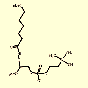 CCCCCCCCCCCCCCCC(=O)NCC(COP(=O)([O-])OCC[N+](C)(C)C)OC